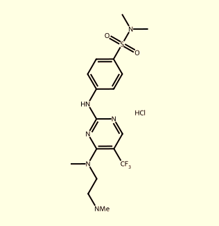 CNCCN(C)c1nc(Nc2ccc(S(=O)(=O)N(C)C)cc2)ncc1C(F)(F)F.Cl